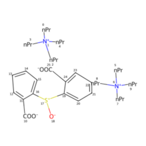 CCC[N+](CCC)(CCC)CCC.CCC[N+](CCC)(CCC)CCC.O=C([O-])c1ccccc1[S+]([O-])c1ccccc1C(=O)[O-]